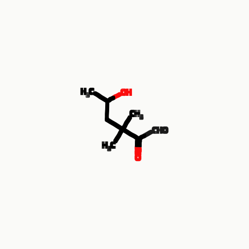 CC(O)CC(C)(C)C(=O)C=O